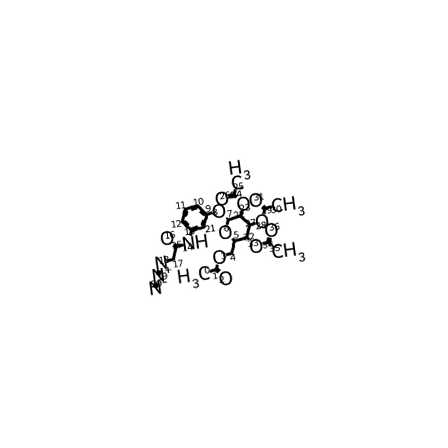 CC(=O)OCC1O[C@H](Oc2cccc(NC(=O)CN=[N+]=[N-])c2)C(OC(C)=O)C(OC(C)=O)[C@H]1OC(C)=O